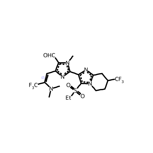 CCS(=O)(=O)c1c(-c2nc(/C=C(\N(C)C)C(F)(F)F)c(C=O)n2C)nc2n1CCC(C(F)(F)F)C2